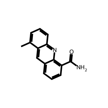 Cc1cccc2nc3c(C(N)=O)cccc3cc12